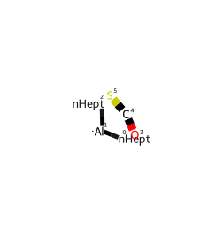 CCCCCC[CH2][Al][CH2]CCCCCC.O=C=S